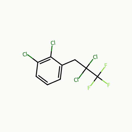 FC(F)(F)C(Cl)(Cl)Cc1cccc(Cl)c1Cl